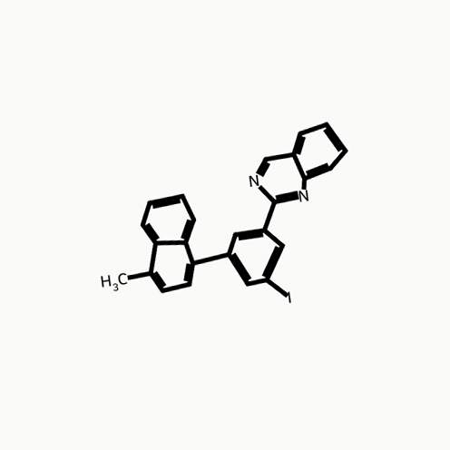 Cc1ccc(-c2cc(I)cc(-c3ncc4ccccc4n3)c2)c2ccccc12